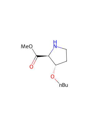 CCCCO[C@H]1CCN[C@@H]1C(=O)OC